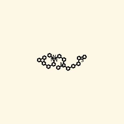 c1ccc(-c2cc(-c3cccc(-c4ccc(-c5cccc(-c6cccc7c6sc6ccccc67)c5)cc4)c3)cc(-c3cccc(-c4cccc(-c5nc(-c6ccccc6)nc(-c6cccc(-c7cccc(-c8ccc9c%10ccccc%10c%10ccccc%10c9c8)c7)c6)n5)c4)c3)n2)cc1